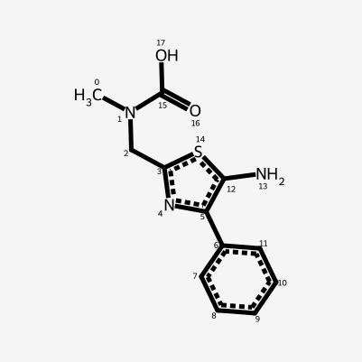 CN(Cc1nc(-c2ccccc2)c(N)s1)C(=O)O